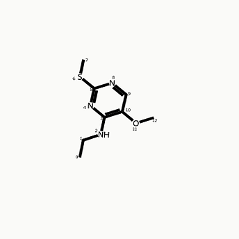 CCNc1nc(SC)ncc1OC